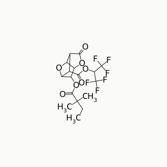 CCC(C)(C)C(=O)OC1C2OC(=O)C3C2OC1C3C(=O)OC(C(F)(F)F)C(F)(F)F